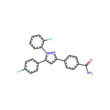 NC(=O)c1ccc(-c2cc(-c3ccc(F)cc3)n(-c3ccccc3F)n2)cc1